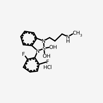 CNCCCN1c2ccccc2N(c2c(F)cccc2F)S1(O)O.Cl